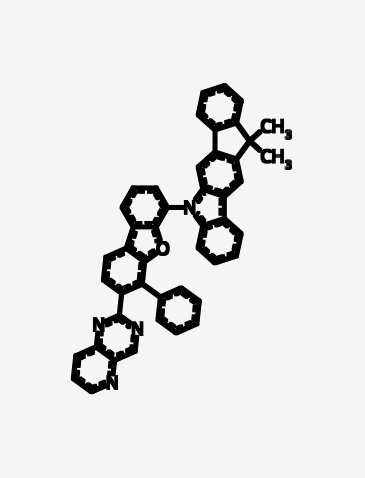 CC1(C)c2ccccc2-c2cc3c(cc21)c1ccccc1n3-c1cccc2c1oc1c(-c3ccccc3)c(-c3ncc4ncccc4n3)ccc12